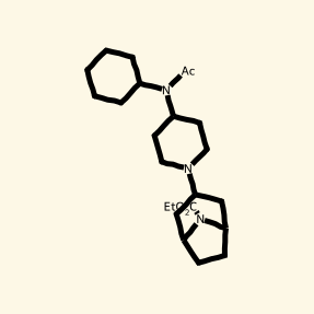 CCOC(=O)N1C2CCC1CC(N1CCC(N(C(C)=O)C3CCCCC3)CC1)C2